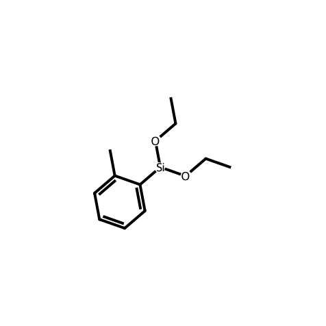 CCO[Si](OCC)c1ccccc1C